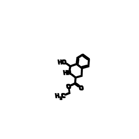 CCOC(=O)C1Cc2ccccc2C(O)N1